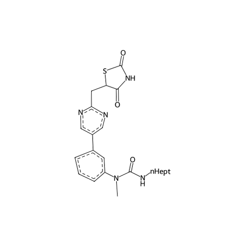 CCCCCCCNC(=O)N(C)c1cccc(-c2cnc(CC3SC(=O)NC3=O)nc2)c1